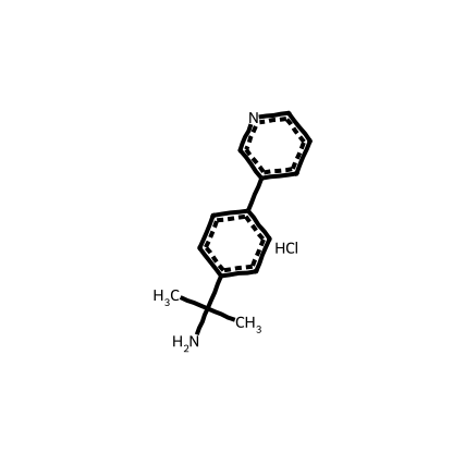 CC(C)(N)c1ccc(-c2cccnc2)cc1.Cl